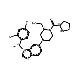 C[C@H](c1ccc(Cl)cc1Cl)n1cnc2ccc(N3CCN(C(=O)[C@H]4CCCN4)[C@H](CO)C3)cc21